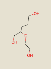 OCCCC(CO)OCCO